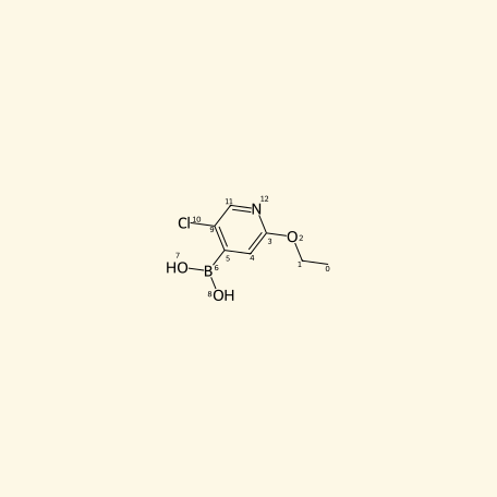 CCOc1cc(B(O)O)c(Cl)cn1